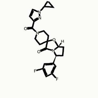 O=C(c1ccn(C2CC2)n1)N1CCC2(CC1)O[C@@H]1CC[C@@H](c3cc(F)cc(F)c3)N1C2=O